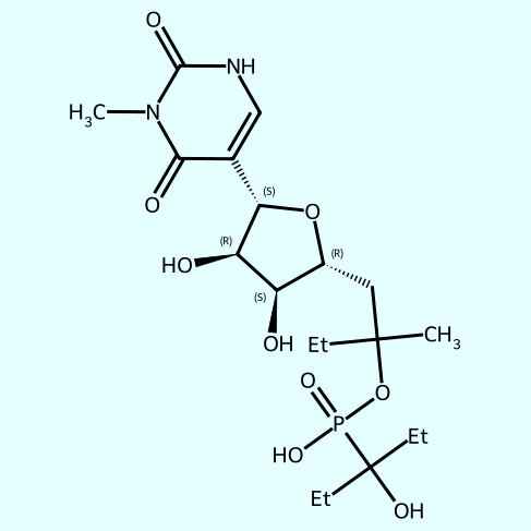 CCC(C)(C[C@H]1O[C@@H](c2c[nH]c(=O)n(C)c2=O)[C@H](O)[C@@H]1O)OP(=O)(O)C(O)(CC)CC